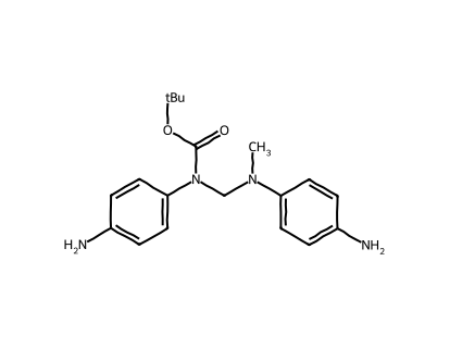 CN(CN(C(=O)OC(C)(C)C)c1ccc(N)cc1)c1ccc(N)cc1